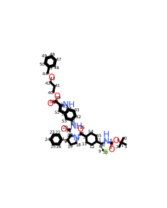 CC(C)(C)OC(=O)N[C@H](CF)C1CCC(C(=O)N2CC[C@H](c3ccccc3)[C@@H]2C(=O)Nc2ccc3[nH]c(C(=O)OCCCOCc4ccccc4)cc3c2)CC1